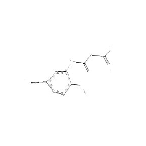 COc1ccc(C)cc1NC(=O)CC(C)=O